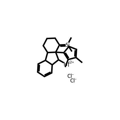 CC1=CCC(C23C(=[Si](C)C)CCCC2C2C=CC=CC2[CH]3[Hf+2])=C1C.[Cl-].[Cl-]